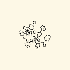 O=C(Cc1cscc1NS(=O)(=O)c1ccc(-c2ccco2)cc1)N1CCOCC1.O=C1COCCN1CCc1cscc1NS(=O)(=O)c1c(Cl)cc(Cl)cc1Cl